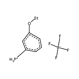 CCOc1cccc([PH3+])c1.F[B-](F)(F)F